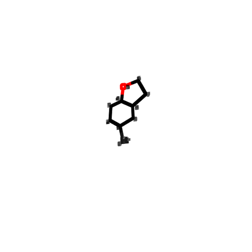 C[CH]C1CCC2OCCC2C1